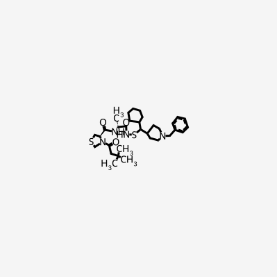 C[C@@H](NC(=O)[C@@H]1CSCN1C(=O)CC(C)(C)C)C(=O)NSC(C1CCCCC1)C1CCN(Cc2ccccc2)CC1